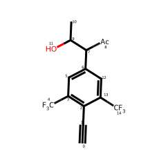 C#Cc1c(C(F)(F)F)cc(C(C(C)=O)C(C)O)cc1C(F)(F)F